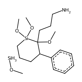 COC1(CCCN)C(c2ccccc2)CCC[Si]1(OC)OC.CO[SiH3]